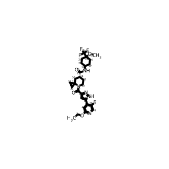 CCOc1cc(-c2cc(C(=O)N3CC[C@@H](C(=O)NC4CCC(OC)(C(F)(F)F)CC4)CC34CC4)n[nH]2)c(F)cn1